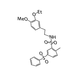 CCOc1cc(CCNS(=O)(=O)c2cc(S(=O)(=O)c3ccccc3)ccc2C)ccc1OC